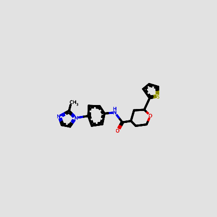 Cc1nccn1-c1ccc(NC(=O)C2CCOC(c3cccs3)C2)cc1